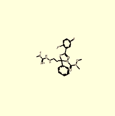 CNC(=N)NNCCC1(c2ccccc2)SC(c2cc(F)ccc2F)=NN1C(=O)N(C)OC